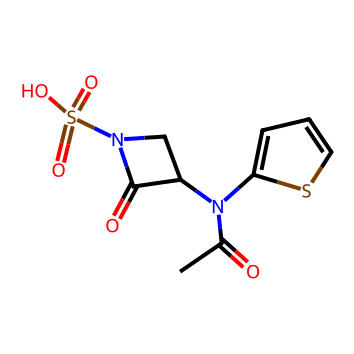 CC(=O)N(c1cccs1)C1CN(S(=O)(=O)O)C1=O